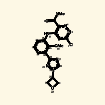 CNC(=O)c1nnc(Cl)cc1Nc1cccc(-c2ncn(C3COC3)n2)c1OC